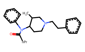 CCCC(=O)N(c1ccccc1)C1CCN(CCc2ccccc2)CC1C